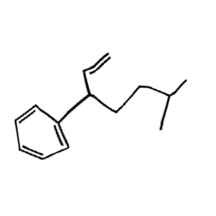 C=CC(CCC(C)C)c1ccccc1